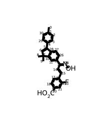 Cc1ccc(C2=CC(C)(C)c3cc(C(/C=C/c4ccc(C(=O)O)cc4F)=N/O)ccc32)cc1